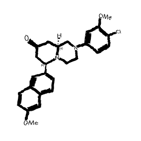 COc1ccc2cc([C@H]3CC(=O)C[C@H]4CN(c5ccc(Cl)c(OC)c5)CCN43)ccc2c1